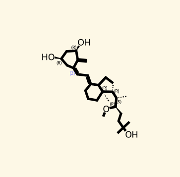 C=C1/C(=C\C=C2CCC[C@@]3(C)C2CC[C@@H]3[C@H](C)[C@@H](CCC(C)(C)O)OC)C[C@@H](O)C[C@H]1O